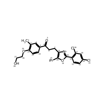 Cc1cc(C(=O)CCc2nc(-c3ccc(Cl)cc3Cl)oc2C(C)C)ccc1OCCO